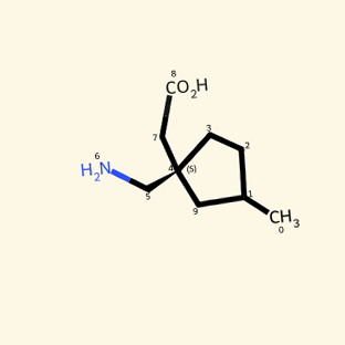 CC1CC[C@@](CN)(CC(=O)O)C1